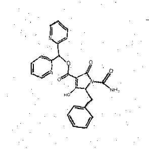 NC(=O)N1C(=O)C(C(=O)OC(c2ccccn2)c2ccccn2)=C(O)C1Cc1ccccc1